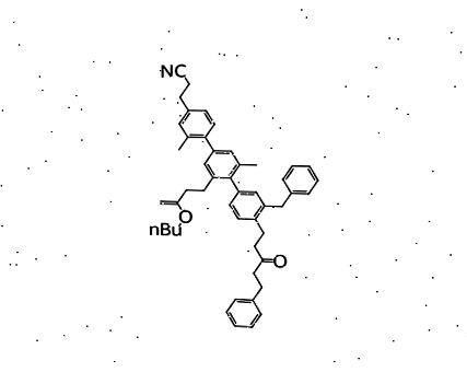 C=C(CCc1cc(-c2ccc(CCC#N)cc2C)cc(C)c1-c1ccc(CCC(=O)CCc2ccccc2)c(Cc2ccccc2)c1)OCCCC